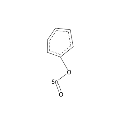 [O]=[Sn][O]c1ccccc1